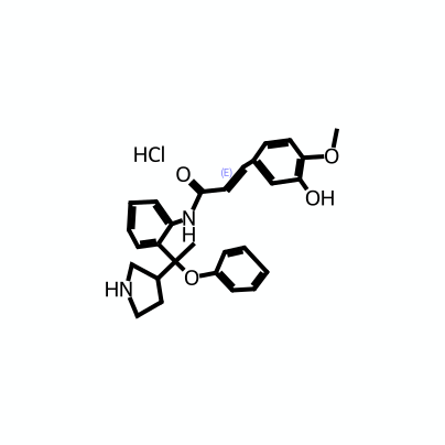 COc1ccc(/C=C/C(=O)Nc2ccccc2C(C)(Oc2ccccc2)C2CCNC2)cc1O.Cl